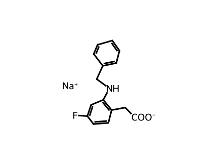 O=C([O-])Cc1ccc(F)cc1NCc1ccccc1.[Na+]